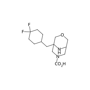 O=C(O)N1CC2COCC(CC3CCC(F)(F)CC3)(C1)N2